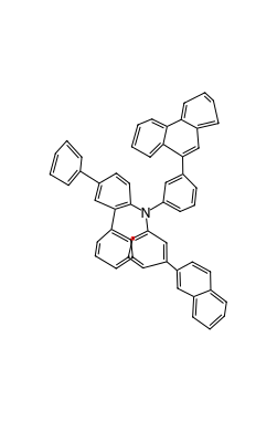 c1ccc(-c2ccc(N(c3cccc(-c4ccc5ccccc5c4)c3)c3cccc(-c4cc5ccccc5c5ccccc45)c3)c(-c3ccccc3)c2)cc1